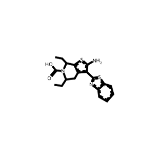 CCC1Cc2c(sc(N)c2-c2nc3ccccc3s2)C(CC)N1C(=O)O